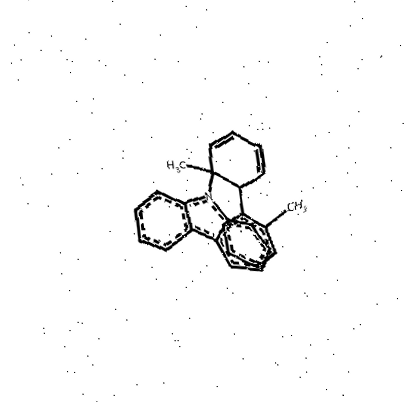 Cc1ccccc1C1C=CC=CC1(C)n1c2ccccc2c2ccccc21